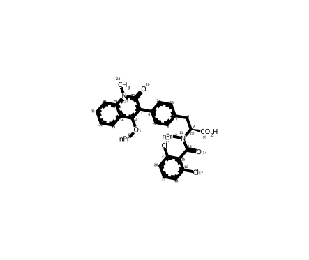 CCCOc1c(-c2ccc(C[C@@H](C(=O)O)N(CCC)C(=O)c3c(Cl)cccc3Cl)cc2)c(=O)n(C)c2ccccc12